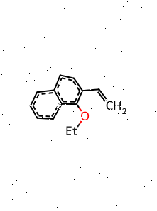 C=Cc1ccc2ccccc2c1OCC